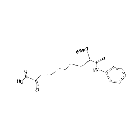 COC(CCCCCCC(=O)NO)C(=O)Nc1ccccc1